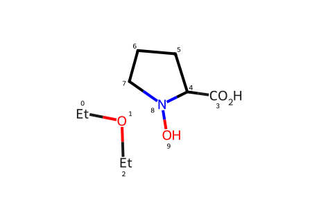 CCOCC.O=C(O)C1CCCN1O